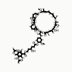 CO[C@H]1C[C@@H]2CC[C@@H](C)[C@@](O)(O2)C(=O)C(=O)N2CCCC[C@H]2C(=O)O[C@H]([C@H](C)C[C@@H]2CC[C@@H](OC(=O)CCC(O)CCOC(=O)c3c(I)c(NC(C)=O)c(I)c(NC(C)=O)c3I)[C@H](OC)C2)CC(=O)[C@H](C)/C=C(\C)[C@@H](O)[C@@H](C)C(=O)[C@H](C)C[C@H](C)/C=C/C=C/C=C/1C